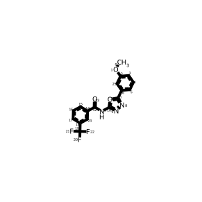 COc1cccc(-c2nnc(NC(=O)c3cccc(C(F)(F)F)c3)o2)c1